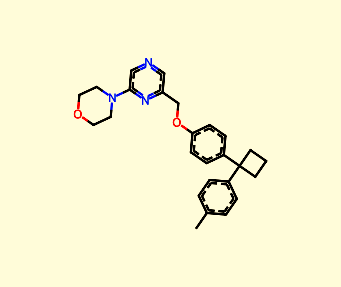 Cc1ccc(C2(c3ccc(OCc4cncc(N5CCOCC5)n4)cc3)CCC2)cc1